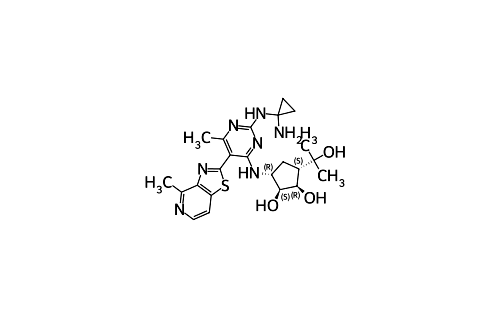 Cc1nc(NC2(N)CC2)nc(N[C@@H]2C[C@H](C(C)(C)O)[C@@H](O)[C@H]2O)c1-c1nc2c(C)nccc2s1